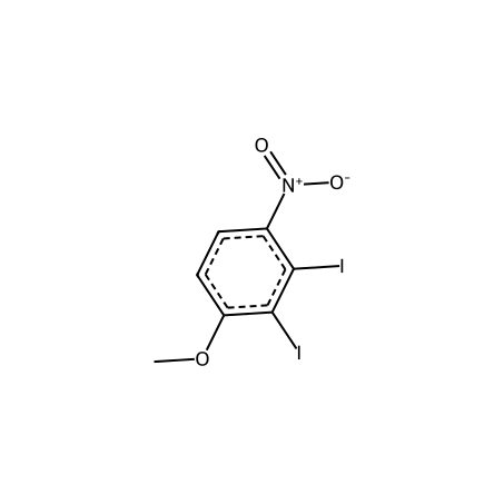 COc1ccc([N+](=O)[O-])c(I)c1I